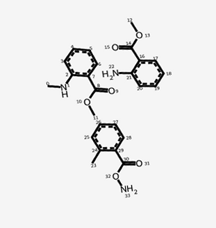 CNc1ccccc1C(=O)OC.COC(=O)c1ccccc1N.Cc1ccccc1C(=O)ON